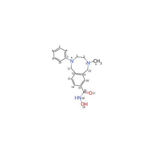 CN1CCN(c2ccccc2)Cc2ccc(C(=O)NO)cc2C1